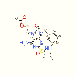 CCCS(=N)(=O)c1nc(N)c2c(n1)n(Cc1ccccc1)c(=O)n2CCOC(C)=O